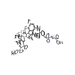 CN1CC2CCN(c3c(-c4cnc5c(c4)c(=O)c(C(=O)O)cn5C)cnc4[nH]c5c(N(C)C(=O)OCOC(=O)/C=C/C(=O)O)cc(F)c(F)c5c34)C2C1